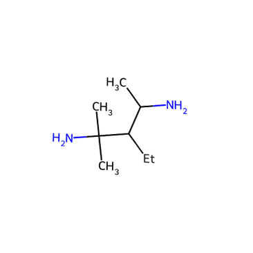 CCC(C(C)N)C(C)(C)N